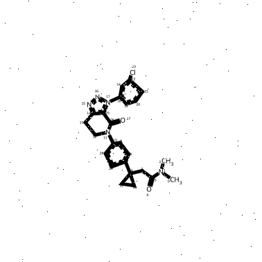 CN(C)C(=O)CC1(c2ccc(N3CCc4nnn(-c5cccc(Cl)c5)c4C3=O)cc2)CC1